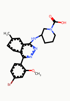 COc1cc(Br)ccc1-c1nnc(NC2CCCN(C(=O)O)C2)c2cc(C)ccc12